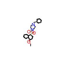 CCOc1ccc(S(=O)(=O)N2CCN(Cc3ccccc3)CC2)c2ccccc12